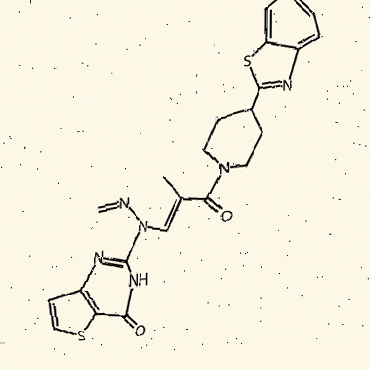 C=NN(/C=C(\C)C(=O)N1CCC(c2nc3ccccc3s2)CC1)c1nc2ccsc2c(=O)[nH]1